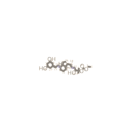 CCOC(=O)OC(C)(C)[C@H](O)/C=C/[C@@H](C)[C@H]1CC[C@H]2/C(=C/C=C3C[C@@H](O)C[C@H](O)C3)CCC[C@]12C